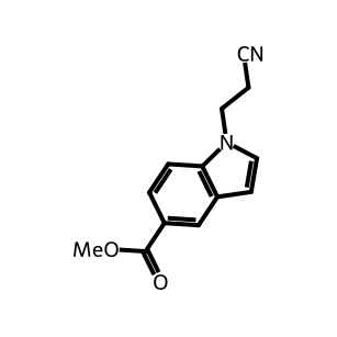 COC(=O)c1ccc2c(ccn2CCC#N)c1